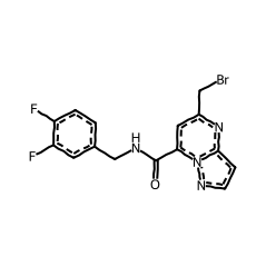 O=C(NCc1ccc(F)c(F)c1)c1cc(CBr)nc2ccnn12